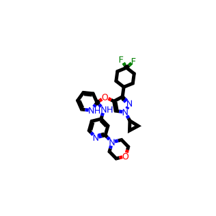 FC1(F)CCC(c2nn(C3CC3)cc2OC2(Nc3ccnc(N4CCOCC4)c3)C=CC=CN2)CC1